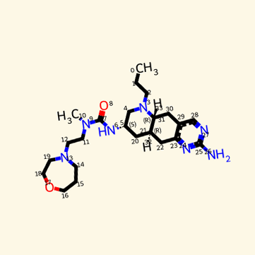 CCCN1C[C@@H](NC(=O)N(C)CCN2CCCOCC2)C[C@@H]2Cc3nc(N)ncc3C[C@H]21